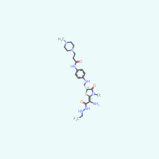 CCN1C(=O)[C@@H](CNc2ccc(NC(=O)CCN3CCN(C)CC3)cc2)S/C1=C(/N)C(=O)NNCC(F)(F)F